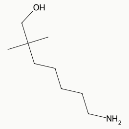 CC(C)(CO)CCCCCN